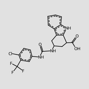 O=C(Nc1ccc(Cl)c(C(F)(F)F)c1)NC1Cc2c([nH]c3ccccc23)C(C(=O)O)C1